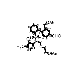 COCCOCN(c1onc(C)c1C)S(=O)(=O)c1ccccc1-c1ccc(C=O)cc1COC